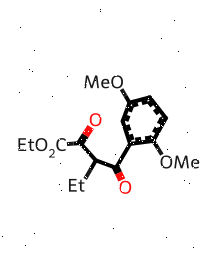 CCOC(=O)C(=O)C(CC)C(=O)c1cc(OC)ccc1OC